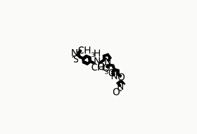 Cc1ncsc1-c1ccc(C(C)NC(=O)C2CCCN2C(=O)Cc2cc(OC3CN(C=O)C3)no2)cc1